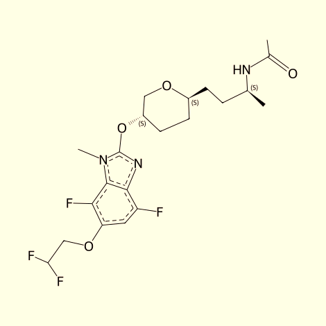 CC(=O)N[C@@H](C)CC[C@H]1CC[C@H](Oc2nc3c(F)cc(OCC(F)F)c(F)c3n2C)CO1